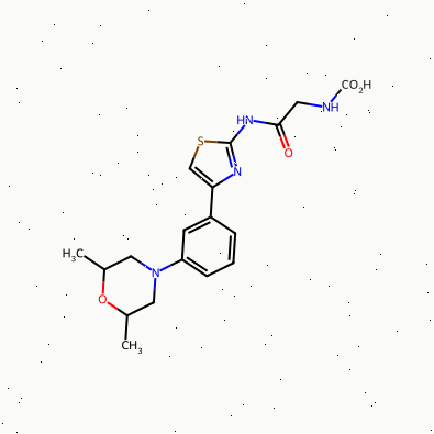 CC1CN(c2cccc(-c3csc(NC(=O)CNC(=O)O)n3)c2)CC(C)O1